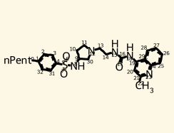 CCCCCc1ccc(S(=O)(=O)NC2CCN(CCNC(=O)Nc3cc(C)nc4ccccc34)C2)cc1